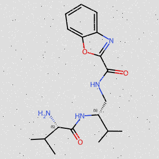 CC(C)[C@H](N)C(=O)N[C@H](CNC(=O)c1nc2ccccc2o1)C(C)C